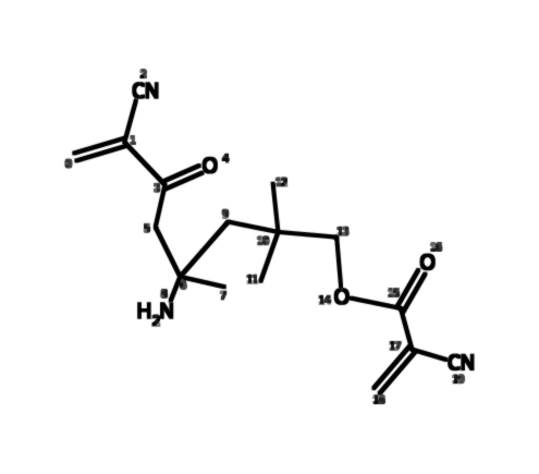 C=C(C#N)C(=O)CC(C)(N)CC(C)(C)COC(=O)C(=C)C#N